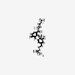 CNCCCc1ccc(Nc2c(C(=O)NOCCO)ccc(F)c2F)c(F)c1